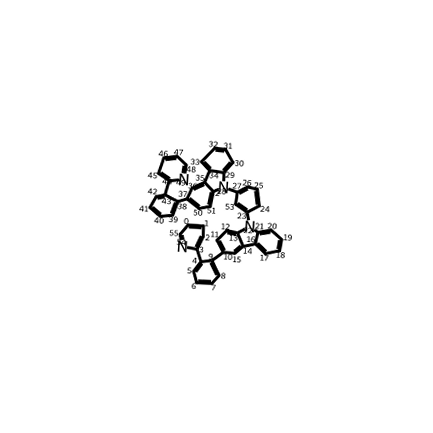 c1ccc(-c2ccccc2-c2ccc3c(c2)c2ccccc2n3-c2cccc(-n3c4ccccc4c4cc(-c5ccccc5-c5ccccn5)ccc43)c2)nc1